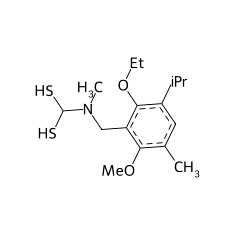 CCOc1c(C(C)C)cc(C)c(OC)c1CN(C)C(S)S